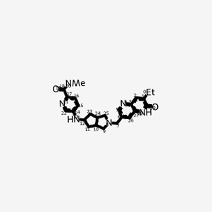 CCc1cc2ncc(CN3CC4CC(Nc5ccc(C(=O)NC)nc5)CC4C3)cc2[nH]c1=O